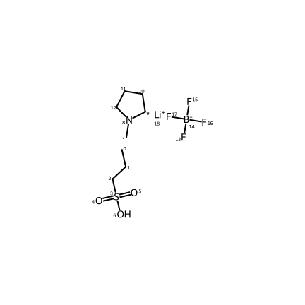 CCCS(=O)(=O)O.CN1CCCC1.F[B-](F)(F)F.[Li+]